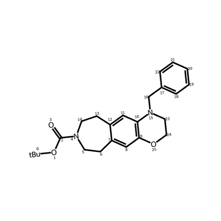 CC(C)(C)OC(=O)N1CCc2cc3c(cc2CC1)N(Cc1ccccc1)CCO3